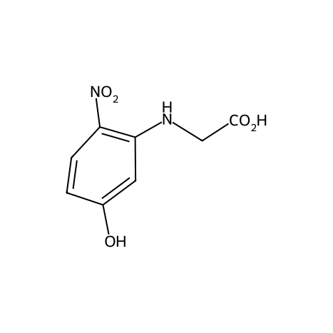 O=C(O)CNc1cc(O)ccc1[N+](=O)[O-]